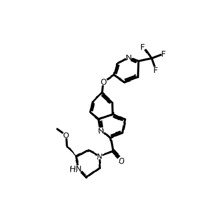 COC[C@H]1CN(C(=O)c2ccc3cc(Oc4ccc(C(F)(F)F)nc4)ccc3n2)CCN1